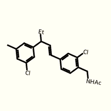 CCC(/C=C/c1ccc(CNC(C)=O)c(Cl)c1)c1cc(C)cc(Cl)c1